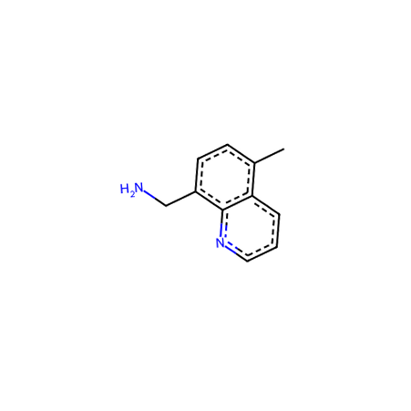 Cc1ccc(CN)c2ncccc12